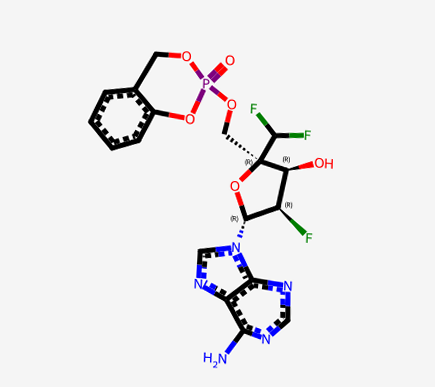 Nc1ncnc2c1ncn2[C@@H]1O[C@@](COP2(=O)OCc3ccccc3O2)(C(F)F)[C@@H](O)[C@H]1F